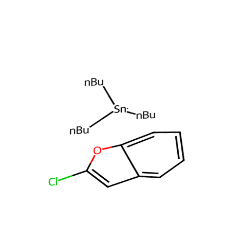 CCC[CH2][Sn]([CH2]CCC)[CH2]CCC.Clc1cc2ccccc2o1